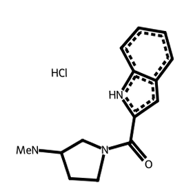 CNC1CCN(C(=O)c2cc3ccccc3[nH]2)C1.Cl